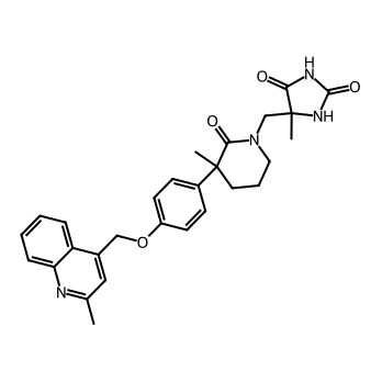 Cc1cc(COc2ccc(C3(C)CCCN(CC4(C)NC(=O)NC4=O)C3=O)cc2)c2ccccc2n1